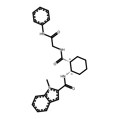 Cn1c(C(=O)N[C@H]2CCCC[C@H]2C(=O)NCC(=O)Nc2ccccc2)cc2ccccc21